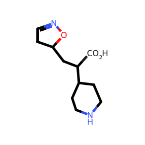 O=C(O)C(CC1CC=NO1)C1CCNCC1